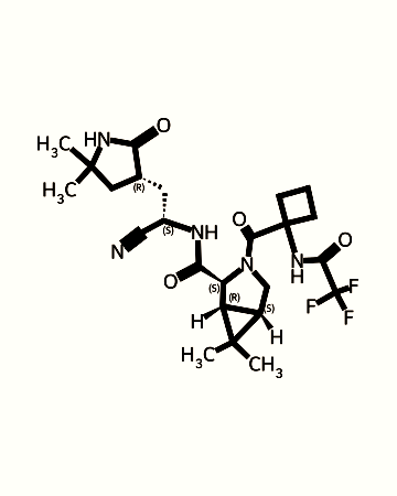 CC1(C)C[C@@H](C[C@@H](C#N)NC(=O)[C@@H]2[C@@H]3[C@H](CN2C(=O)C2(NC(=O)C(F)(F)F)CCC2)C3(C)C)C(=O)N1